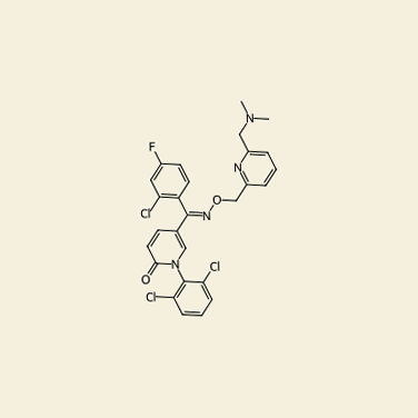 CN(C)Cc1cccc(CO/N=C(/c2ccc(=O)n(-c3c(Cl)cccc3Cl)c2)c2ccc(F)cc2Cl)n1